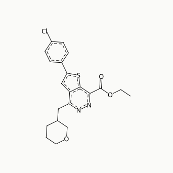 CCOC(=O)c1nnc(CC2CCCOC2)c2cc(-c3ccc(Cl)cc3)sc12